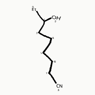 [CH2]CC(O)CCCCCC#N